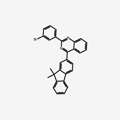 CC1(C)c2ccccc2-c2ccc(-c3nc(-c4cccc(Br)c4)nc4ccccc34)cc21